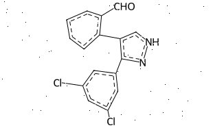 O=Cc1ccccc1-c1c[nH]nc1-c1cc(Cl)cc(Cl)c1